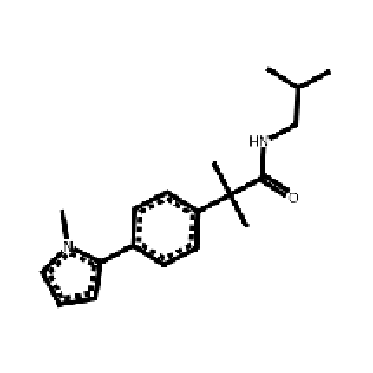 CC(C)CNC(=O)C(C)(C)c1ccc(-c2cccn2C)cc1